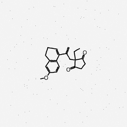 C=C(CC1(CC)C(=O)CCC1=O)C1=CCCc2cc(OC)ccc21